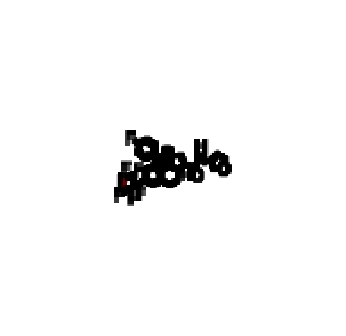 O=C(N[C@@H]1CCOC1)[C@@H]1CC[C@@]2(S(=O)(=O)c3ccc(F)cc3)c3ccc(C(F)(C(F)(F)F)C(F)(F)F)cc3CC[C@@H]12